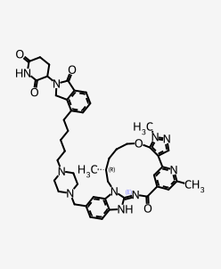 Cc1cc2cc(n1)-c1cnn(C)c1OCCC[C@@H](C)CN1/C(=N/C2=O)Nc2ccc(CN3CCN(CCCCCc4cccc5c4CN(C4CCC(=O)NC4=O)C5=O)CC3)cc21